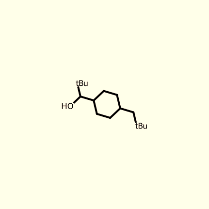 CC(C)(C)CC1CCC(C(O)C(C)(C)C)CC1